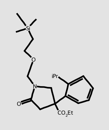 CCOC(=O)C1(c2ccccc2C(C)C)CC(=O)N(COCC[Si](C)(C)C)C1